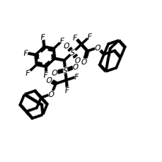 O=C(OC12CC3CC(CC(C3)C1)C2)C(F)(F)S(=O)(=O)C(c1c(F)c(F)c(F)c(F)c1F)S(=O)(=O)C(F)(F)C(=O)OC12CC3CC(CC(C3)C1)C2